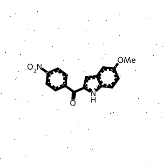 COc1ccc2[nH]c(C(=O)c3ccc([N+](=O)[O-])cc3)cc2c1